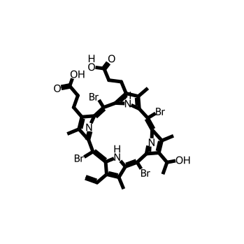 C=Cc1c(C)c2[nH]c1c(Br)c1nc(c(Br)c3[nH]c(c(C)c3CCC(=O)O)c(Br)c3nc(c2Br)C(C(C)O)=C3C)C(CCC(=O)O)=C1C